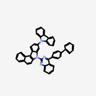 c1ccc(-c2ccc(-c3nc(-n4c5cc(-n6c7ccccc7c7ccccc76)ccc5c5c6ccccc6ccc54)nc4ccccc34)cc2)cc1